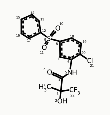 CC(O)(C(=O)Nc1cc(S(=O)(=O)c2ccccc2)ccc1Cl)C(F)(F)F